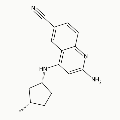 N#Cc1ccc2nc(N)cc(N[C@@H]3CC[C@H](F)C3)c2c1